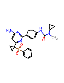 CN(C(=O)Nc1ccc(-c2nc(N)cc(C3(S(=O)(=O)c4ccccc4)CC3)n2)cc1)C1CC1